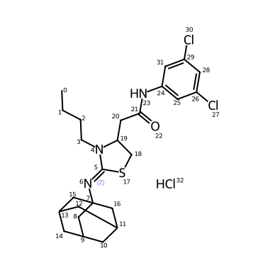 CCCCN1/C(=N/C23CC4CC(CC(C4)C2)C3)SCC1CC(=O)Nc1cc(Cl)cc(Cl)c1.Cl